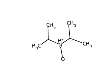 CC(C)[NH+]([O-])C(C)C